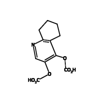 O=C(O)Oc1cnc2c(c1OC(=O)O)CCCC2